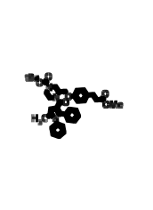 COC(=O)CCc1ccc(OCC2CN(C(=O)OC(C)(C)C)CCN2C(=O)c2cc(C)n(-c3ccccc3)c2-c2ccccc2)cc1